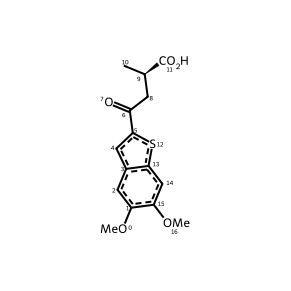 COc1cc2cc(C(=O)C[C@@H](C)C(=O)O)sc2cc1OC